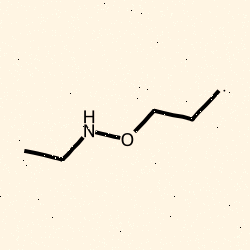 [CH2]CCONCC